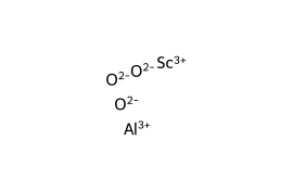 [Al+3].[O-2].[O-2].[O-2].[Sc+3]